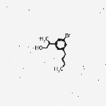 [CH2]C(CO)c1cc(Br)cc(CCCC)c1